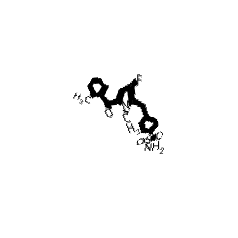 Cc1ccccc1C(=O)c1cc(F)c(Cc2ccc(S(N)(=O)=O)cc2)n1C